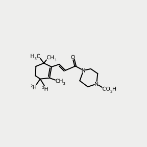 [2H]C1([2H])CCC(C)(C)C(C=CC(=O)N2CCN(C(=O)O)CC2)=C1C